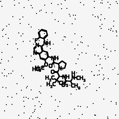 CN[C@@H](C)C(=O)N[C@H](C(=O)N1CCCC1C(=O)Nc1cc2c(Nc3ccccc3F)ncnc2cc1OC)C(C)(C)C.Cl